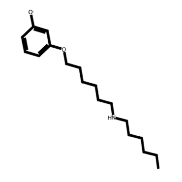 CCCCCCNCCCCCCOc1cccc([O])c1